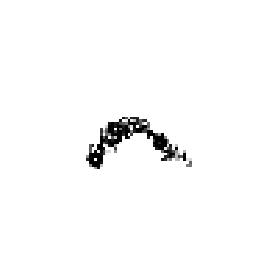 CN(CC(=O)NCc1ccc(S(N)(=O)=O)cc1)S(=O)(=O)N1CC[C@H]2[C@H]1CC(=O)N2Cc1nc2ccccc2s1